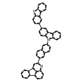 c1ccc2c(c1)-c1cccc3nc(-c4ccc5cc(-n6c7ccccc7c7cc(-c8ccc9sc%10ccccc%10c9c8)ccc76)ccc5c4)cc-2c13